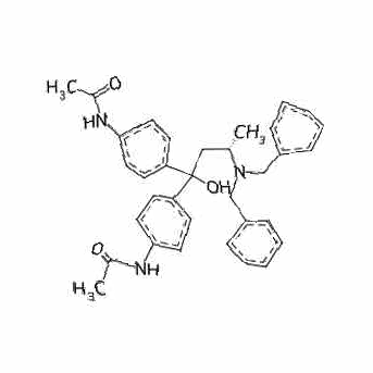 CC(=O)Nc1ccc(C(O)(C[C@H](C)N(Cc2ccccc2)Cc2ccccc2)c2ccc(NC(C)=O)cc2)cc1